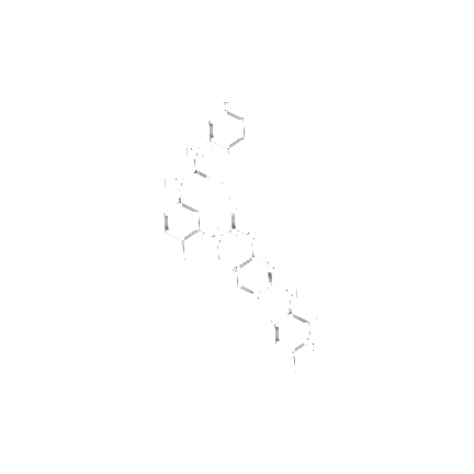 COc1ccc(NC(=O)Nc2ccc(C)c(N3Cc4cnc(Nc5ccc(C)nc5)nc4N(C)C3=O)c2)cc1